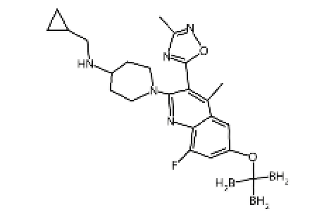 BC(B)(B)Oc1cc(F)c2nc(N3CCC(NCC4CC4)CC3)c(-c3nc(C)no3)c(C)c2c1